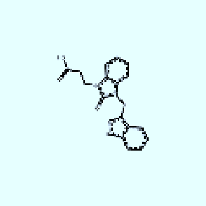 O=C(O)CCn1c(=O)n(Cc2c[nH]c3ccccc23)c2ccccc21